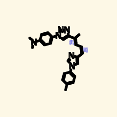 C/C(=C\C=C/c1cn(-c2ccc(C)cc2)cn1)c1cn(-c2ccc(N(C)C)cc2)nn1